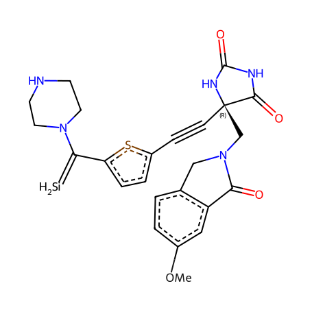 COc1ccc2c(c1)C(=O)N(C[C@@]1(C#Cc3ccc(C(=[SiH2])N4CCNCC4)s3)NC(=O)NC1=O)C2